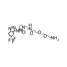 NCCOCCOCCC(=O)NCCN1CC[C@H](Nc2ncnc3ccc(C(F)(F)F)cc23)C1=O